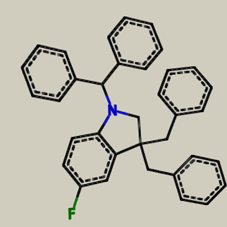 Fc1ccc2c(c1)C(Cc1ccccc1)(Cc1ccccc1)CN2C(c1ccccc1)c1ccccc1